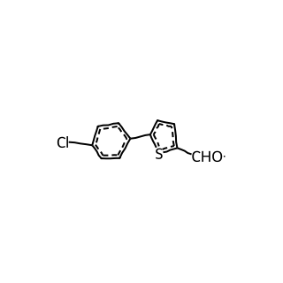 O=[C]c1ccc(-c2ccc(Cl)cc2)s1